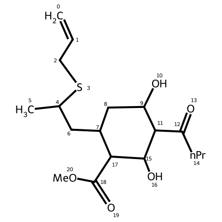 C=CCSC(C)CC1CC(O)C(C(=O)CCC)C(O)C1C(=O)OC